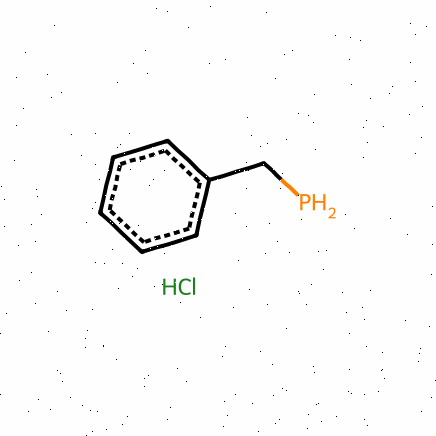 Cl.PCc1ccccc1